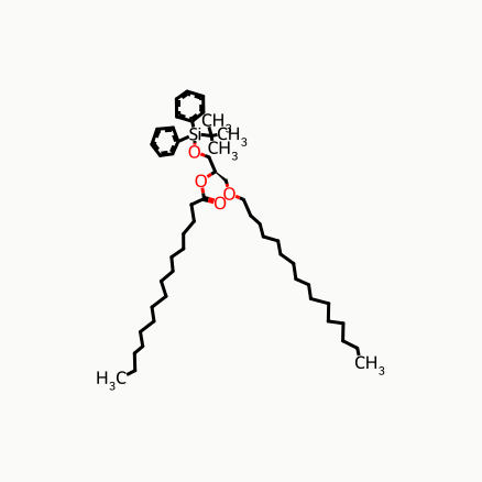 CCCCCCCCCCCCCCCCOC[C@H](CO[Si](c1ccccc1)(c1ccccc1)C(C)(C)C)OC(=O)CCCCCCCCCCCCCCC